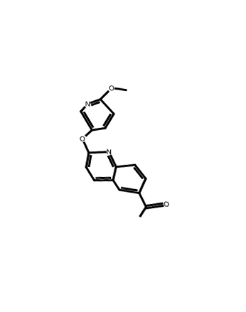 COc1ccc(Oc2ccc3cc(C(C)=O)ccc3n2)cn1